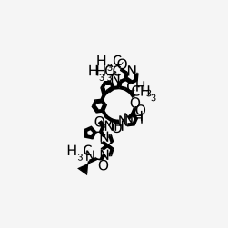 CCn1c(-c2cccnc2[C@H](C)OC)c2c3cc(ccc31)-c1cccc(c1)C[C@H](NC(=O)[C@H](C1CCCC1)N1CC[C@]3(CCN(C(=O)[C@H]4[C@@H](C5CC5)N4C)C3)C1)C(=O)N1CCC[C@H](N1)C(=O)OCC(C)(C)C2